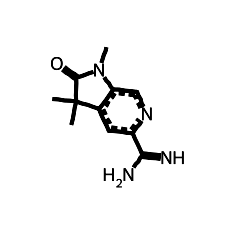 CN1C(=O)C(C)(C)c2cc(C(=N)N)ncc21